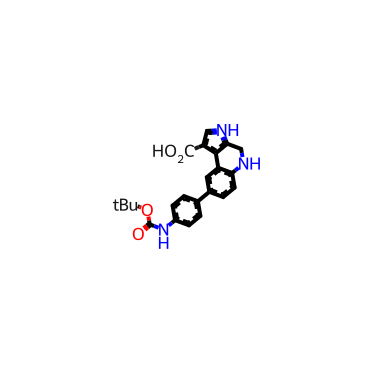 CC(C)(C)OC(=O)Nc1ccc(-c2ccc3c(c2)-c2c(C(=O)O)c[nH]c2CN3)cc1